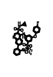 COc1ccccc1-c1ccc2c(Nc3cc(Oc4ccc(F)cc4)cc(S(N)(=O)=O)c3)c(S(=O)(=O)NC3CC3)cnc2c1